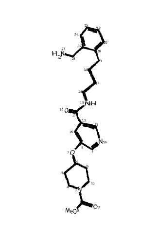 COC(=O)N1CCC(Oc2cncc(C(=O)NCCCCc3ccccc3CN)c2)CC1